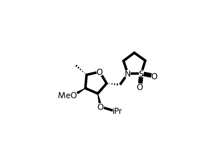 CO[C@@H]1[C@H](OC(C)C)[C@@H](CN2CCCS2(=O)=O)O[C@H]1C